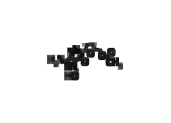 CC(=O)OCC1[CH][CH]C(n2nnc3c(N)nn(CO)c3c2=O)O1